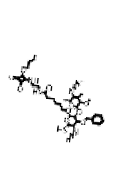 CCCCOc1c(NCCNC(=O)CCCCCO[C@H]2OC(S)C(N=[N+]=[N-])C(OCc3ccccc3)C2O[C@H]2OC(C)C(N=[N+]=[N-])C(C)C2OC)c(=O)c1=O